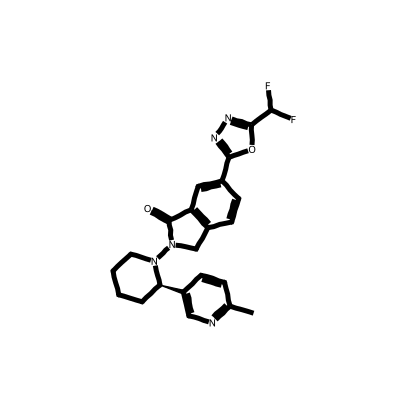 Cc1ccc([C@H]2CCCCN2N2Cc3ccc(-c4nnc(C(F)F)o4)cc3C2=O)cn1